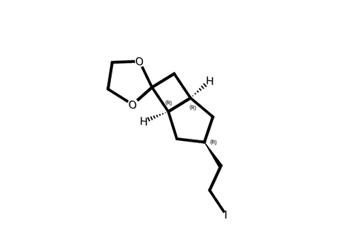 ICC[C@@H]1C[C@@H]2CC3(OCCO3)[C@@H]2C1